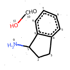 NC1CCc2ccccc21.O=CO